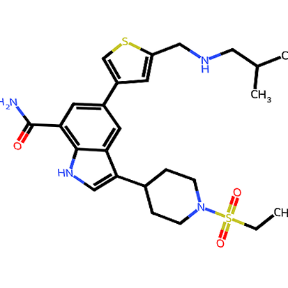 CCS(=O)(=O)N1CCC(c2c[nH]c3c(C(N)=O)cc(-c4csc(CNCC(C)C)c4)cc23)CC1